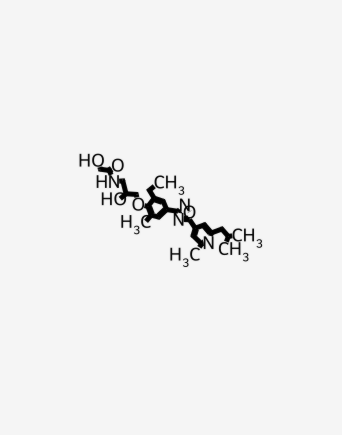 CCc1cc(-c2noc(-c3cc(C)nc(CC(C)C)c3)n2)cc(C)c1OCC(O)CNC(=O)CO